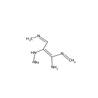 C=N/C(N)=C(\C=N/C)NCCCC